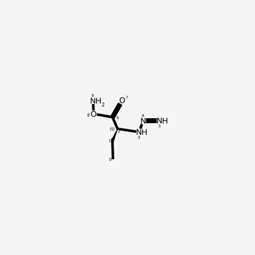 CC[C@H](NN=N)C(=O)ON